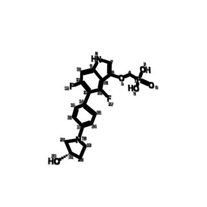 O=P(O)(O)COc1c[nH]c2cc(F)c(-c3ccc(N4CC[C@H](O)C4)cc3)c(F)c12